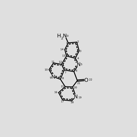 Nc1ccc2nc3c4c(nccc4c2c1)-c1cccnc1C3=O